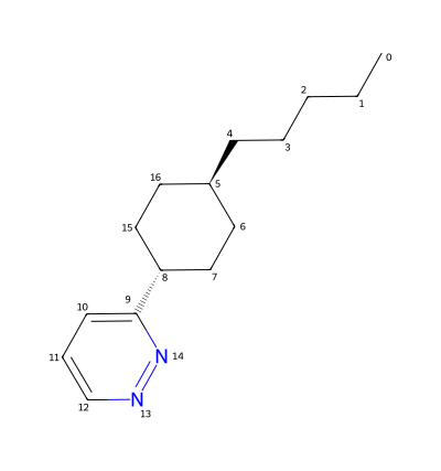 CCCCC[C@H]1CC[C@H](c2cccnn2)CC1